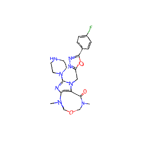 CN1COCN(C)c2nc(N3CCNCC3)n(Cc3nnc(-c4ccc(F)cc4)o3)c2C1=O